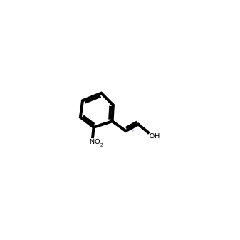 O=[N+]([O-])c1ccccc1/C=C/O